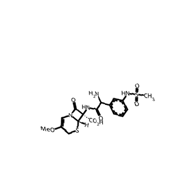 COC1=CN2C(=O)[C@](NC(=O)C(N)c3cccc(NS(C)(=O)=O)c3)(C(=O)O)[C@@H]2SC1